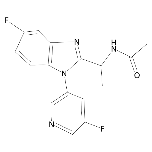 CC(=O)NC(C)c1nc2cc(F)ccc2n1-c1cncc(F)c1